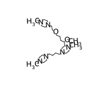 COC(CCCOCCN1CCN(C)CC1)C1CN(CCCCN2CCN(C)CC2)CCN1C